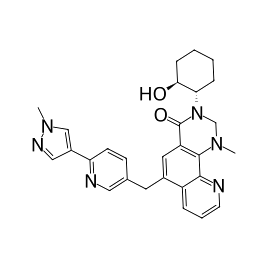 CN1CN([C@H]2CCCC[C@@H]2O)C(=O)c2cc(Cc3ccc(-c4cnn(C)c4)nc3)c3cccnc3c21